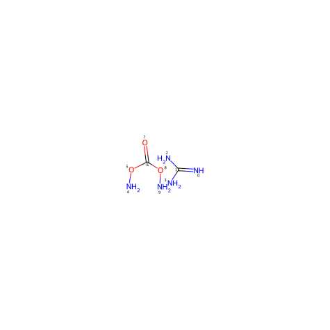 N=C(N)N.NOC(=O)ON